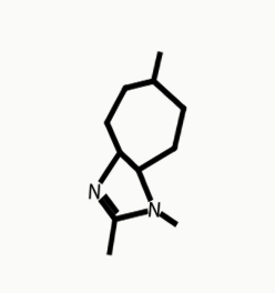 CC1=NC2CCC(C)CCC2N1C